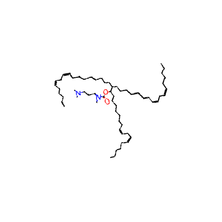 CCCCC/C=C\C/C=C\CCCCCCCCC(CCCCCCC/C=C\C/C=C\CCCCC)C(CCCCCCC/C=C\C/C=C\CCCCC)OC(=O)N(C)CCCN(C)C